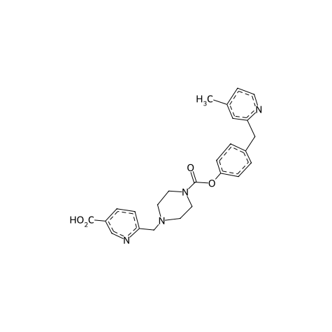 Cc1ccnc(Cc2ccc(OC(=O)N3CCN(Cc4ccc(C(=O)O)cn4)CC3)cc2)c1